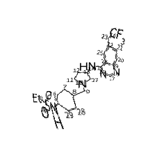 CCS(=O)(=O)NC1CCC(CN2CC[C@@H](Nc3ncnc4ccc(CC(F)(F)F)cc34)C2)CC1